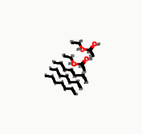 CCCCCCC.CCCCCCC.CCCCCCC.CCOC(C)=O.CCOC(C)=O